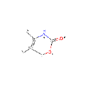 CC1=C(C)NC(=O)OC1